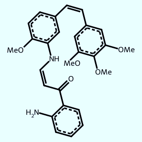 COc1ccc(/C=C\c2cc(OC)c(OC)c(OC)c2)cc1N/C=C\C(=O)c1ccccc1N